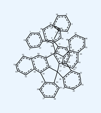 c1ccc(N(c2ccccc2)c2ccc3c(c2)C2(c4ccccc4-3)c3ccccc3-c3c2c(N(c2ccccc2)c2cccc4ccccc24)cc2ccccc32)cc1